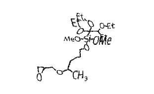 CCOC(CC)C(OCC)(OCC)[Si](OC)(OC)OCCCC(C)OCC1CO1